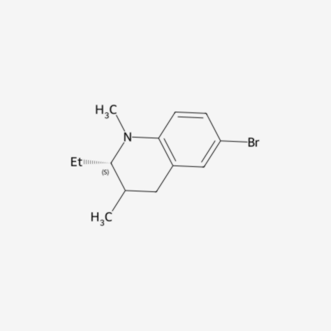 CC[C@H]1C(C)Cc2cc(Br)ccc2N1C